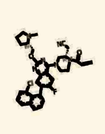 C=CC(=O)N1CCN(c2nc(OC[C@@H]3CCCN3C)nc3cc(-c4cccc5cccc(Cl)c45)c(F)cc23)C[C@@H]1CC#N